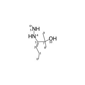 CC/C=C(/NNC)C(C)(C)O